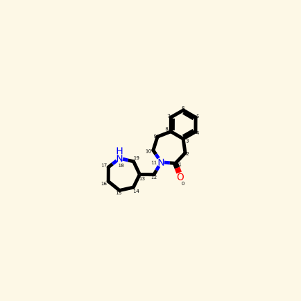 O=C1Cc2ccccc2CCN1CC1CCCCNC1